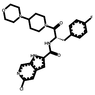 O=C(N[C@@H](Cc1ccc(F)cc1)C(=O)N1CCC(N2CCOCC2)CC1)c1cc2cc(Cl)ncc2[nH]1